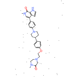 C[C@@H]1C(=O)N(C)CCN1CCOc1ccc(C2CCN(c3ccc(-c4cn(C)c(=O)c5[nH]ccc45)cc3)CC2)cc1